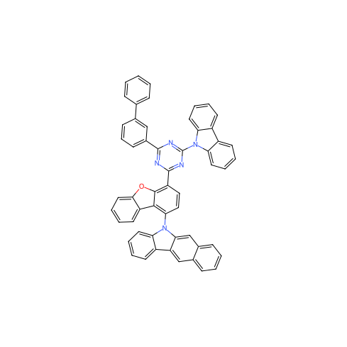 c1ccc(-c2cccc(-c3nc(-c4ccc(-n5c6ccccc6c6cc7ccccc7cc65)c5c4oc4ccccc45)nc(-n4c5ccccc5c5ccccc54)n3)c2)cc1